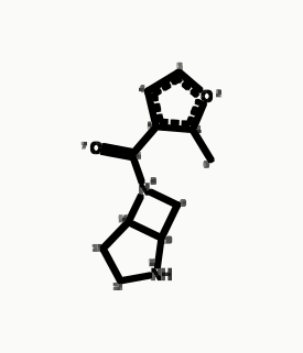 Cc1occc1C(=O)N1CC2NCCC21